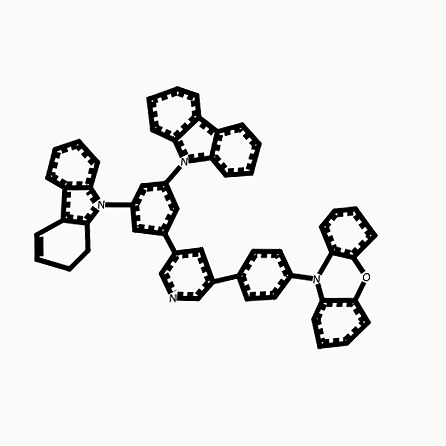 C1=Cc2c(n(-c3cc(-c4cncc(-c5ccc(N6c7ccccc7Oc7ccccc76)cc5)c4)cc(-n4c5ccccc5c5ccccc54)c3)c3ccccc23)CC1